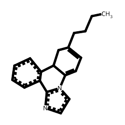 CCCCC1=CC=C2C(C1)c1ccccc1-c1nccn12